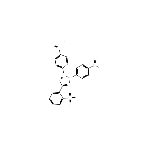 O=[N+]([O-])c1ccc(-n2nc(-c3ccccc3S(=O)(=O)O)n[n+]2-c2ccc([N+](=O)[O-])cc2)cc1